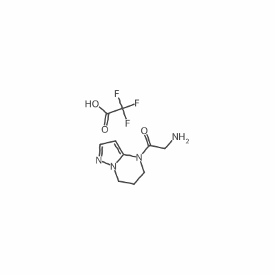 NCC(=O)N1CCCn2nccc21.O=C(O)C(F)(F)F